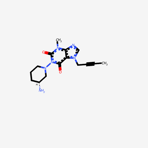 CC#CCn1cnc2c1c(=O)n(N1CCC[C@@H](N)C1)c(=O)n2C